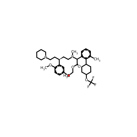 CCOC(=O)C(c1cccc(C)c1C1CCC(OC(F)(F)F)CC1)N(C)CC[C@H](CCN1CCCCC1)c1cc(Cl)ccc1OC